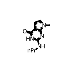 CCCNc1nc2c(ccn2C)c(=O)[nH]1